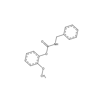 COc1ccccc1OC(=O)NCc1ccccc1